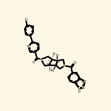 O=C(c1ccc(-c2ccc(Cl)cc2)nc1)N1C[C@@H]2[C@H](C1)[C@H]1CN(C(=O)c3ccc4[nH]nnc4c3)C[C@@H]21